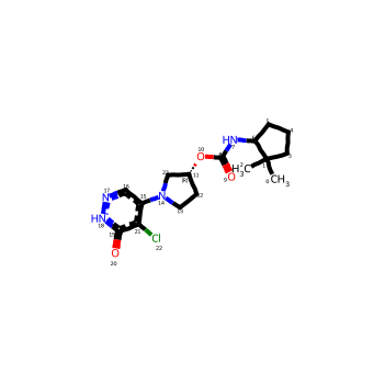 CC1(C)CCCC1NC(=O)O[C@@H]1CCN(c2cn[nH]c(=O)c2Cl)C1